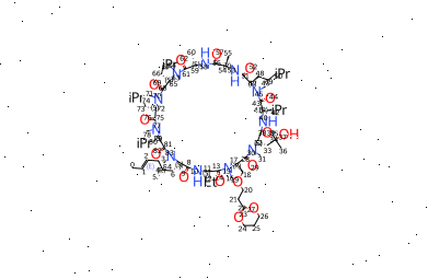 C/C=C/C[C@@H](C)C[C@H]1C(=O)N[C@@H](CC)C(=O)N(C)[C@H](COCCC2OCCCO2)C(=O)N(C)[C@@H](CC(C)(C)O)C(=O)N[C@H](C(C)C)C(=O)N(C)[C@H](CCC(C)C)C(=O)N[C@H](C)C(=O)N[C@@H](C)C(=O)N(C)[C@@H](CC(C)C)C(=O)N(C)[C@@H](CC(C)C)C(=O)N(C)[C@@H](C(C)C)C(=O)N1C